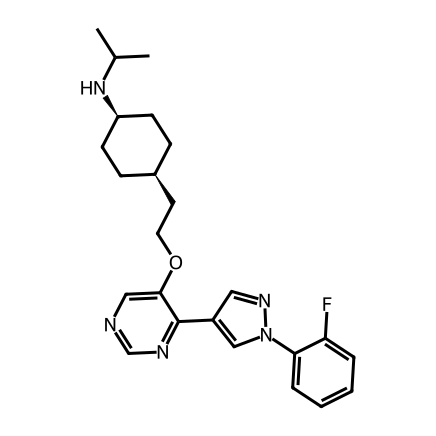 CC(C)N[C@H]1CC[C@@H](CCOc2cncnc2-c2cnn(-c3ccccc3F)c2)CC1